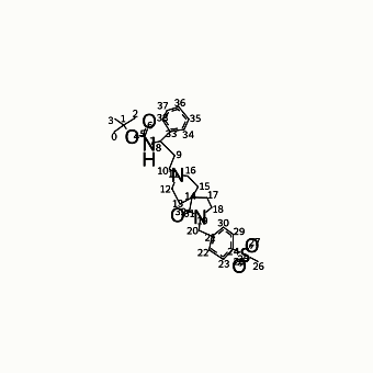 CC(C)(C)OC(=O)NC(CCN1CCC2(CC1)CCN(Cc1ccc(S(C)(=O)=O)cc1)C2=O)c1ccccc1